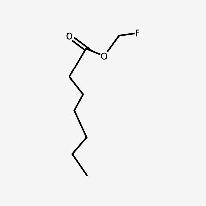 CCCCCCC(=O)OCF